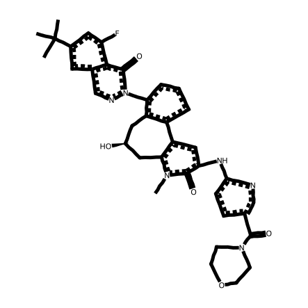 Cn1c2c(cc(Nc3ccc(C(=O)N4CCOCC4)cn3)c1=O)-c1cccc(-n3ncc4cc(C(C)(C)C)cc(F)c4c3=O)c1C[C@H](O)C2